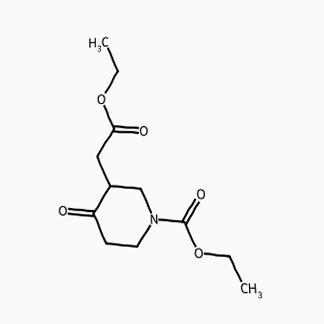 CCOC(=O)CC1CN(C(=O)OCC)CCC1=O